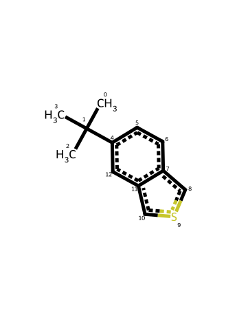 CC(C)(C)c1ccc2cscc2c1